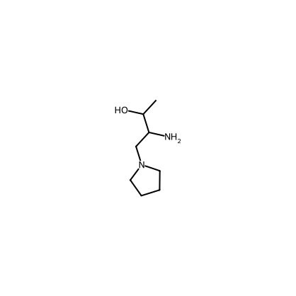 CC(O)C(N)CN1CCCC1